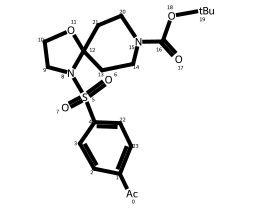 CC(=O)c1ccc(S(=O)(=O)N2CCOC23CCN(C(=O)OC(C)(C)C)CC3)cc1